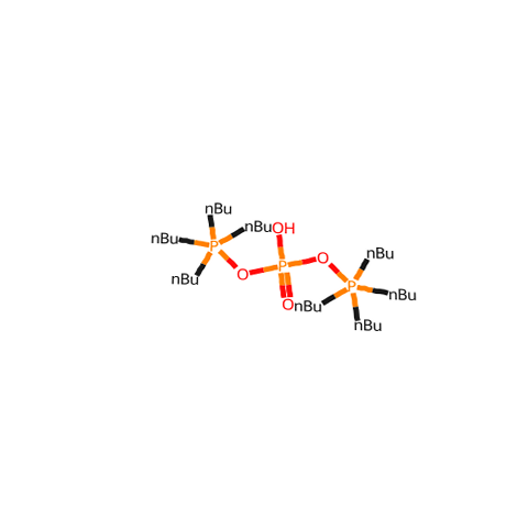 CCCCP(CCCC)(CCCC)(CCCC)OP(=O)(O)OP(CCCC)(CCCC)(CCCC)CCCC